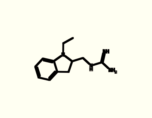 CCN1c2ccccc2CC1CNC(=N)N